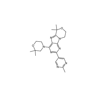 Cc1ncc(-c2nc(N3CCOC(C)(C)C3)c3nc4n(c3n2)CCOC4(C)C)cn1